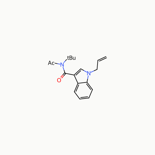 C=CCn1cc(C(=O)N(C(C)=O)C(C)(C)C)c2ccccc21